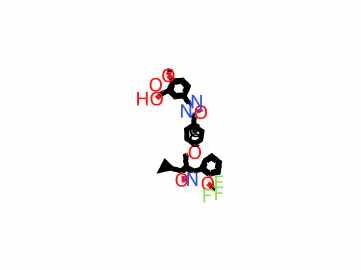 COc1ccc(-c2noc(C34CCC(OCc5c(-c6ccccc6OC(F)(F)F)noc5C5CC5)(CC3)CC4)n2)cc1C(=O)O